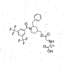 C[C@H](NCC(=O)OCC1CCN(C(=O)c2cc(C(F)(F)F)cc(C(F)(F)F)c2)C(Cc2ccccc2)C1)C(=O)O